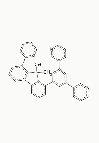 CC1(C)c2c(-c3ccccc3)cccc2-c2cccc(-c3cc(-c4cccnc4)cc(-c4cccnc4)c3)c21